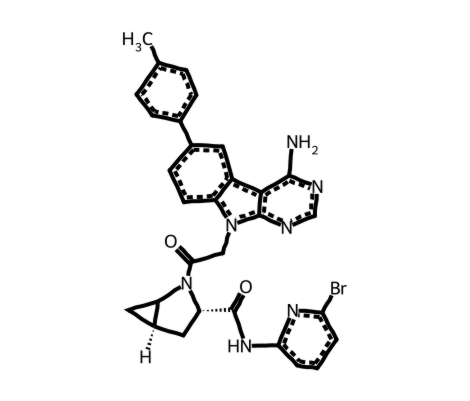 Cc1ccc(-c2ccc3c(c2)c2c(N)ncnc2n3CC(=O)N2C3C[C@@H]3C[C@H]2C(=O)Nc2cccc(Br)n2)cc1